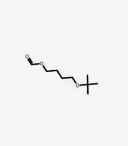 CC(C)(C)OCCCCOC=O